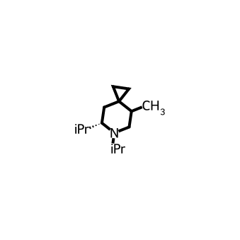 CC(C)[C@@H]1CC2(CC2)C(C)CN1C(C)C